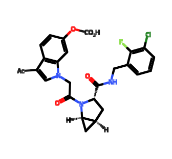 CC(=O)c1cn(CC(=O)N2[C@@H]3C[C@@H]3C[C@H]2C(=O)NCc2cccc(Cl)c2F)c2cc(OC(=O)O)ccc12